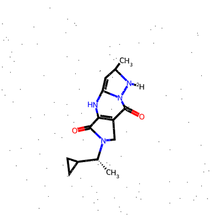 [2H]N1C(C)C=C2NC3=C(CN([C@H](C)C4CC4)C3=O)C(=O)N21